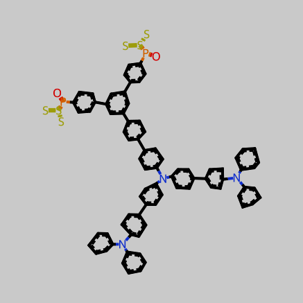 O=P(c1ccc(-c2cc(-c3ccc(-c4ccc(N(c5ccc(-c6ccc(N(c7ccccc7)c7ccccc7)cc6)cc5)c5ccc(-c6ccc(N(c7ccccc7)c7ccccc7)cc6)cc5)cc4)cc3)cc(-c3ccc(P(=O)=S(=S)=S)cc3)c2)cc1)=S(=S)=S